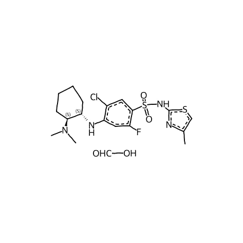 Cc1csc(NS(=O)(=O)c2cc(Cl)c(N[C@H]3CCCC[C@@H]3N(C)C)cc2F)n1.O=CO